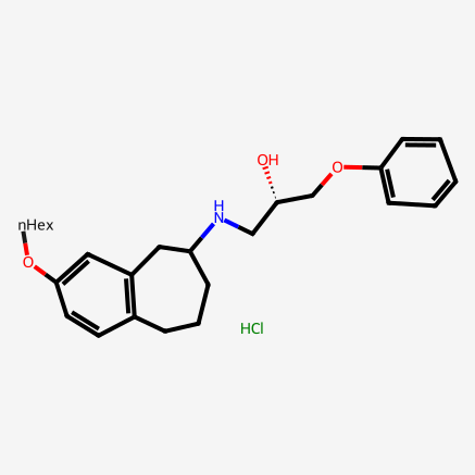 CCCCCCOc1ccc2c(c1)CC(NC[C@H](O)COc1ccccc1)CCC2.Cl